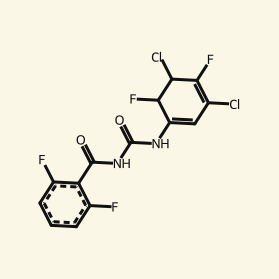 O=C(NC(=O)c1c(F)cccc1F)NC1=CC(Cl)=C(F)C(Cl)C1F